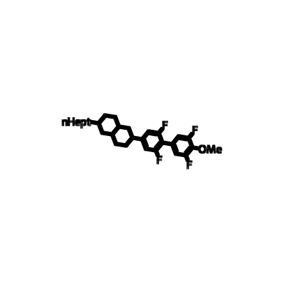 CCCCCCCC1CCC2CC(c3cc(F)c(-c4cc(F)c(OC)c(F)c4)c(F)c3)CCC2C1